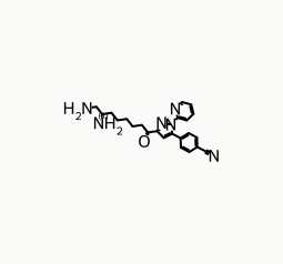 N#Cc1ccc(-c2cc(C(=O)CCCCC[C@@H](N)CN)nn2-c2ccccn2)cc1